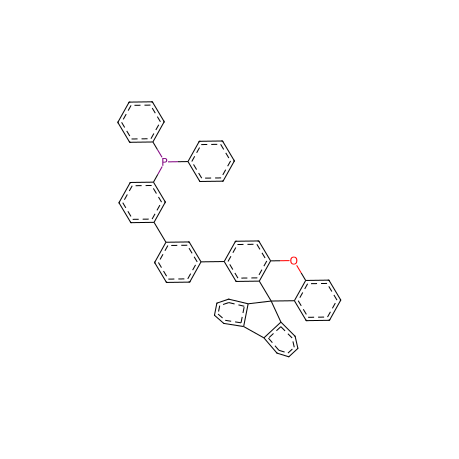 c1ccc(P(c2ccccc2)c2cccc(-c3cccc(-c4ccc5c(c4)C4(c6ccccc6O5)c5ccccc5-c5ccccc54)c3)c2)cc1